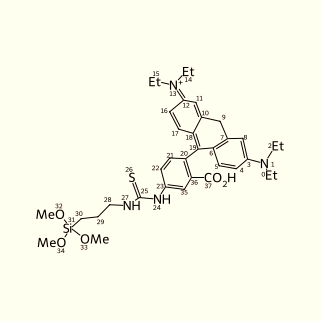 CCN(CC)c1ccc2c(c1)CC1=CC(=[N+](CC)CC)C=CC1=C2c1ccc(NC(=S)NCCC[Si](OC)(OC)OC)cc1C(=O)O